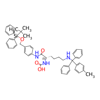 Cc1ccc(C(NCCCC[C@H](NC(=O)O)C(=O)Nc2ccc(CO[Si](c3ccccc3)(c3ccccc3)C(C)(C)C)cc2)(c2ccccc2)c2ccccc2)cc1